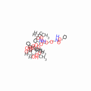 CC(=O)O[C@@H]1C2=C(C)C(OC(=O)[C@H](OC(=O)COCCOCCNC(=O)OCc3ccccc3)[C@@H](NC(=O)OC(C)(C)C)c3ccccc3)C[C@@](O)([C@@H](OC(=O)c3ccccc3)[C@@H]3[C@]4(OC(C)=O)CO[C@@H]4C[C@@H]4C[C@@]43C1O)C2(C)C